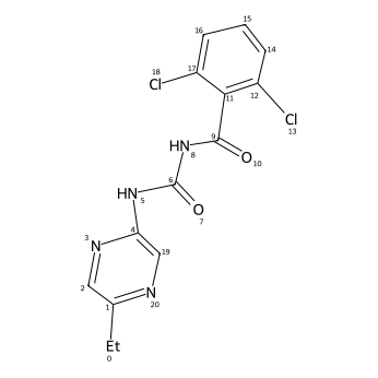 CCc1cnc(NC(=O)NC(=O)c2c(Cl)cccc2Cl)cn1